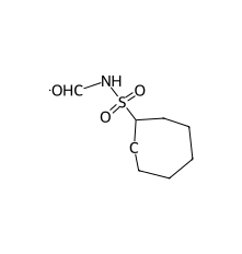 O=[C]NS(=O)(=O)C1CCCCCC1